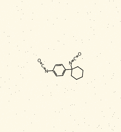 O=C=Nc1ccc(C2(N=C=O)CCCCC2)cc1